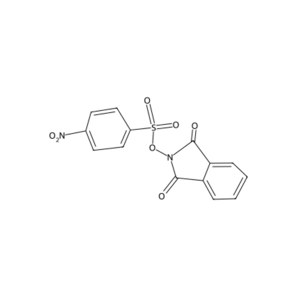 O=C1c2ccccc2C(=O)N1OS(=O)(=O)c1ccc([N+](=O)[O-])cc1